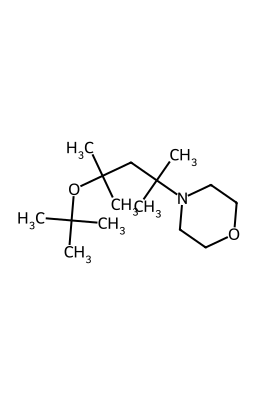 CC(C)(C)OC(C)(C)CC(C)(C)N1CCOCC1